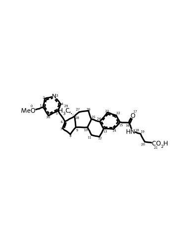 COc1cncc(C2=CCC3C4CCc5cc(C(=O)NCCC(=O)O)ccc5C4CC[C@]23C)c1